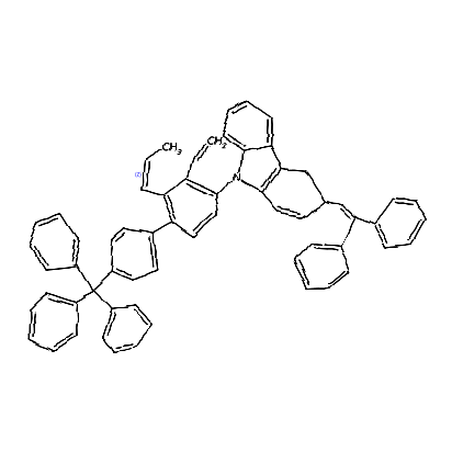 C=Cc1c(-n2c3c(c4ccccc42)CC(C=C(c2ccccc2)c2ccccc2)C=C3)ccc(-c2ccc(C(c3ccccc3)(c3ccccc3)c3ccccc3)cc2)c1/C=C\C